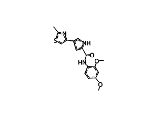 COc1ccc(NC(=O)c2cc(-c3csc(C)n3)c[nH]2)c(OC)c1